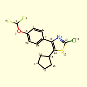 FC(F)Oc1ccc(-c2nc(Cl)sc2C2CCCC2)cc1